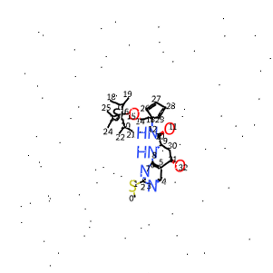 CSc1ncc2c(n1)NC(C(=O)NC1(CO[Si](C(C)C)(C(C)C)C(C)C)C=CC=C1)CC2=O